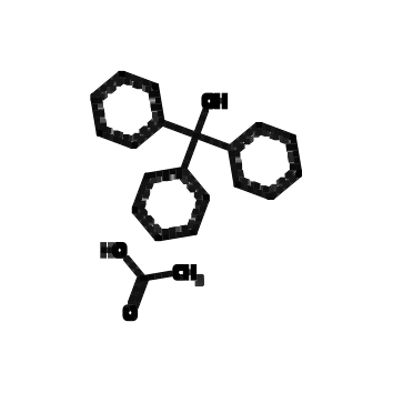 CC(=O)O.OC(c1ccccc1)(c1ccccc1)c1ccccc1